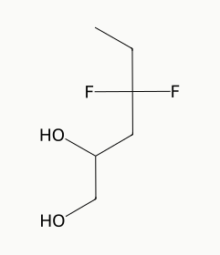 CCC(F)(F)CC(O)CO